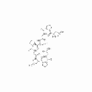 O=C(O)CNC(=O)[C@@H]1CCCN1C(=O)[C@@H]1C[C@@H](O)CN1C(=O)CNC(=O)[C@@H]1CCCN1C(=O)[C@H](CS)NC(=O)CNC(=O)[C@@H]1CCCN1C(=O)[C@@H]1C[C@@H](O)CN1